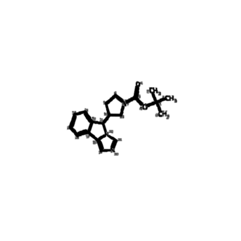 CC(C)(C)OC(=O)N1CCC(C2c3ccccc3-c3cncn32)C1